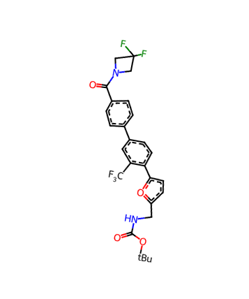 CC(C)(C)OC(=O)NCc1ccc(-c2ccc(-c3ccc(C(=O)N4CC(F)(F)C4)cc3)cc2C(F)(F)F)o1